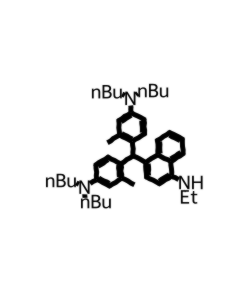 CCCCN(CCCC)c1ccc(C(c2ccc(N(CCCC)CCCC)cc2C)c2ccc(NCC)c3ccccc23)c(C)c1